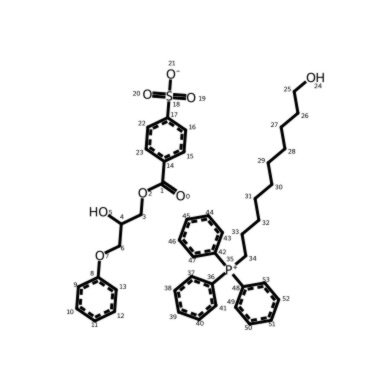 O=C(OCC(O)COc1ccccc1)c1ccc(S(=O)(=O)[O-])cc1.OCCCCCCCCCC[P+](c1ccccc1)(c1ccccc1)c1ccccc1